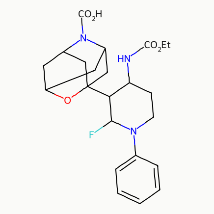 CCOC(=O)NC1CCN(c2ccccc2)C(F)C1C12CC3CC(CC(C1)N3C(=O)O)O2